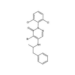 CC(Cc1ccccc1)Nc1cnn(-c2c(Cl)cccc2Cl)c(=O)c1Br